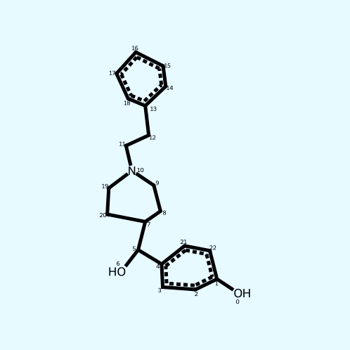 Oc1ccc(C(O)C2CCN(CCc3ccccc3)CC2)cc1